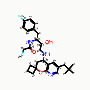 CC(C)(C)Cc1cnc2c(c1)[C@@H](NC[C@@H](O)[C@H](Cc1ccc(F)cc1)NC(=O)CF)CC1(CCC1)O2